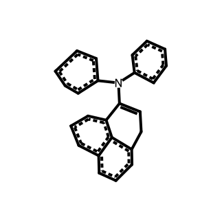 C1=C(N(c2ccccc2)c2ccccc2)c2cccc3cccc(c23)C1